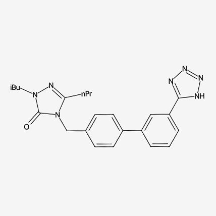 CCCc1nn(C(C)CC)c(=O)n1Cc1ccc(-c2cccc(-c3nnn[nH]3)c2)cc1